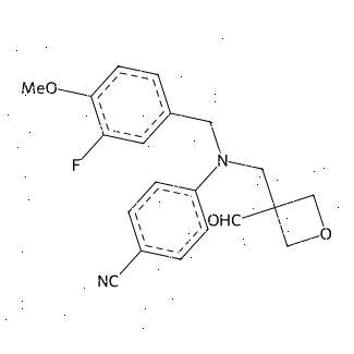 COc1ccc(CN(CC2(C=O)COC2)c2ccc(C#N)cc2)cc1F